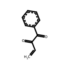 C=CC(=O)C(=O)c1ccccc1